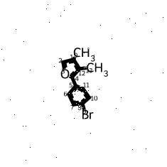 Cc1coc(-c2ccc(Br)cc2)c1C